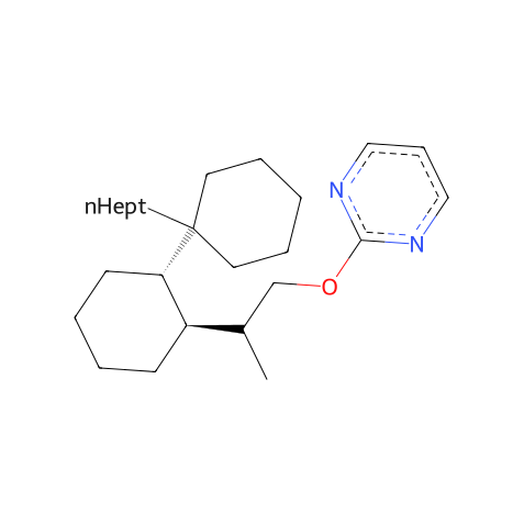 CCCCCCCC1([C@H]2CCCC[C@@H]2C(C)COc2ncccn2)CCCCC1